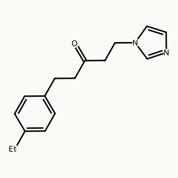 CCc1ccc(CCC(=O)CCn2ccnc2)cc1